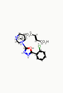 Clc1ccccc1-c1nnc(N2CCN3CCC2CC3)o1.O=C(O)/C=C/C(=O)O